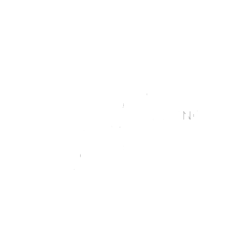 C=C1CC=C(CC(=C)[N+](=O)[O-])C(=O)C1=O